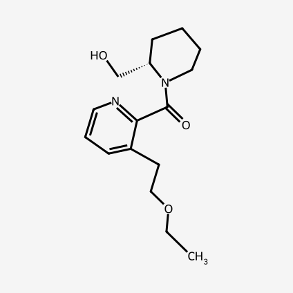 CCOCCc1cccnc1C(=O)N1CCCC[C@H]1CO